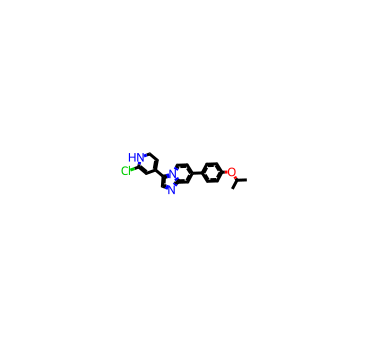 CC(C)Oc1ccc(-c2ccn3c(C4=CCNC(Cl)=C4)cnc3c2)cc1